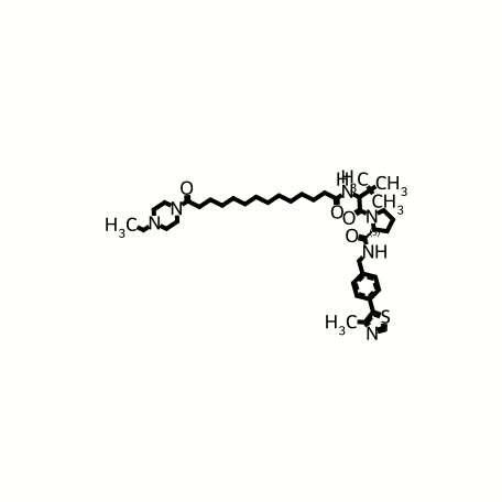 CCN1CCN(C(=O)CCCCCCCCCCCCC(=O)NC(C(=O)N2CCC[C@H]2C(=O)NCc2ccc(-c3scnc3C)cc2)C(C)(C)C)CC1